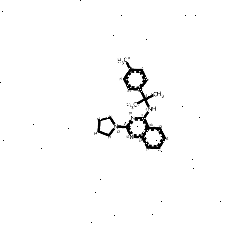 Cc1ccc(C(C)(C)Nc2nc(N3CCCC3)nc3ccccc23)cc1